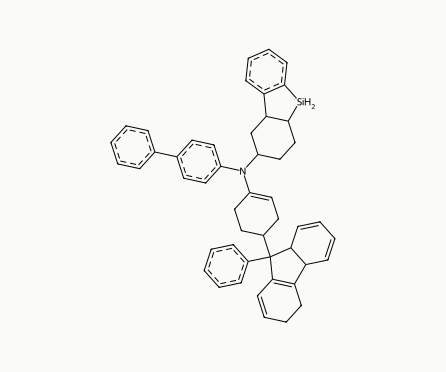 C1=CC2C3=C(C=CCC3)C(c3ccccc3)(C3CC=C(N(c4ccc(-c5ccccc5)cc4)C4CCC5[SiH2]c6ccccc6C5C4)CC3)C2C=C1